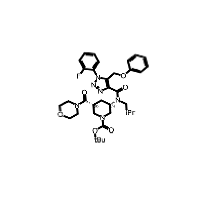 CC(C)CN(C(=O)c1nnn(-c2ccccc2F)c1COc1ccccc1)[C@H]1C[C@@H](C(=O)N2CCOCC2)CN(C(=O)OC(C)(C)C)C1